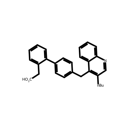 CCCCc1cnc2ccccc2c1Cc1ccc(-c2ccccc2CC(=O)O)cc1